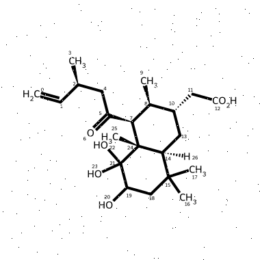 C=C[C@@H](C)CC(=O)[C@H]1[C@@H](C)[C@H](CC(=O)O)C[C@H]2C(C)(C)CC(O)C(O)(O)[C@]12C